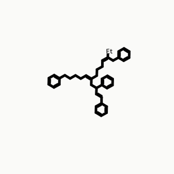 CCC(=CCCCC(=CCCCCc1ccccc1)CC(C=Cc1ccccc1)c1ccccc1)Cc1ccccc1